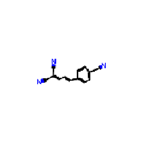 N#CC(C#N)=C/C=C/c1ccc(C#N)cc1